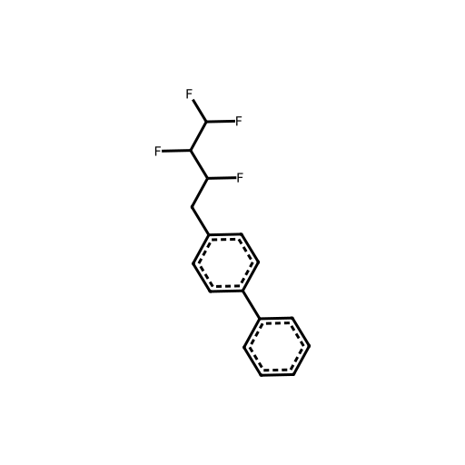 FC(F)C(F)C(F)Cc1ccc(-c2ccccc2)cc1